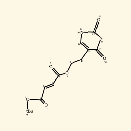 CC(C)(C)OC(=O)/C=C/C(=O)OCCc1c[nH]c(=O)[nH]c1=O